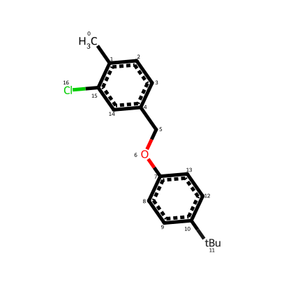 Cc1ccc(COc2ccc(C(C)(C)C)cc2)cc1Cl